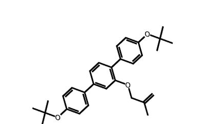 C=C(C)COc1cc(-c2ccc(OC(C)(C)C)cc2)ccc1-c1ccc(OC(C)(C)C)cc1